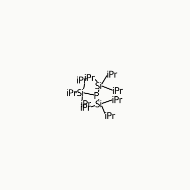 CC(C)[Si](C(C)C)(C(C)C)P([Si](C(C)C)(C(C)C)C(C)C)[Si](C(C)C)(C(C)C)C(C)C